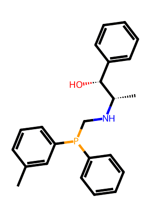 Cc1cccc(P(CN[C@@H](C)[C@H](O)c2ccccc2)c2ccccc2)c1